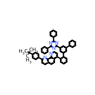 CC(C)(C)c1ccc(-c2ccc3ccc4c(-c5ccccc5-c5cc(-c6ccccc6)cc(-c6nc(-c7ccccc7)nc(-c7ccccc7)n6)c5)ccnc4c3n2)cc1